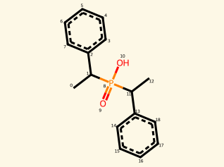 CC(c1ccccc1)P(=O)(O)C(C)c1ccccc1